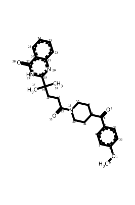 COc1ccc(C(=O)C2CCN(C(=O)CCC(C)(C)c3nc4ccccc4c(=O)[nH]3)CC2)cc1